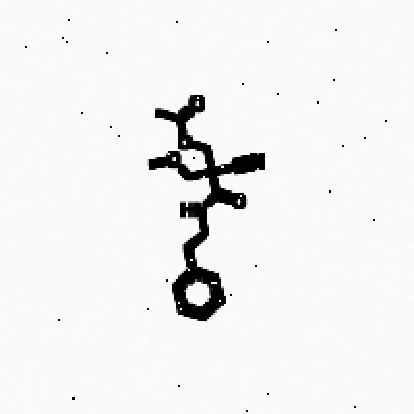 COCC(C#N)(COC(C)=O)C(=O)NCCc1ccccc1